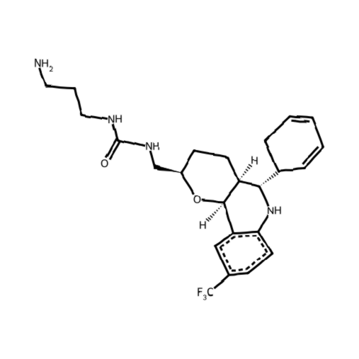 NCCCNC(=O)NC[C@H]1CC[C@@H]2[C@H](O1)c1cc(C(F)(F)F)ccc1N[C@H]2C1C=CC=CC1